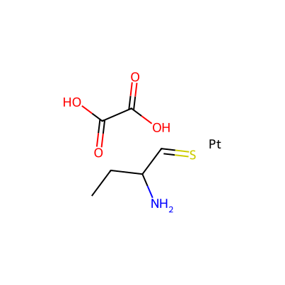 CCC(N)C=S.O=C(O)C(=O)O.[Pt]